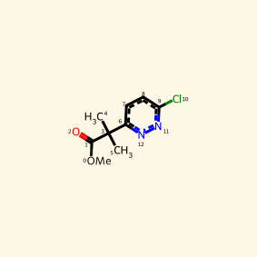 COC(=O)C(C)(C)c1ccc(Cl)nn1